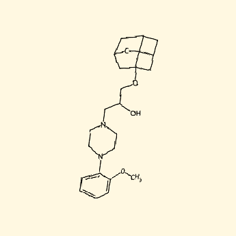 COc1ccccc1N1CCN(CC(O)COC23CC4CC5CC(C2)C53C4)CC1